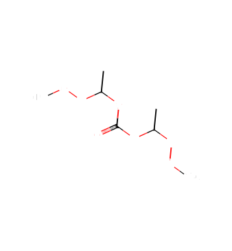 CC(OOC(C)(C)C)OC(=O)OC(C)OOC(C)(C)C